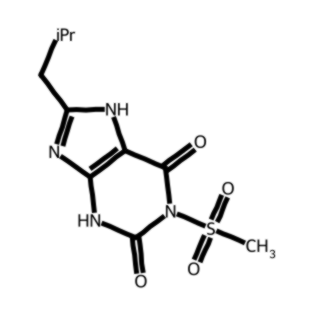 CC(C)Cc1nc2[nH]c(=O)n(S(C)(=O)=O)c(=O)c2[nH]1